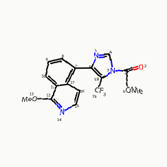 COC(=O)n1cnc(-c2cccc3c(OC)nccc23)c1C(F)(F)F